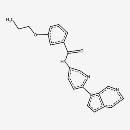 CCCOc1cccc(C(=O)Nc2ccc(-n3ccc4ccncc43)nc2)c1